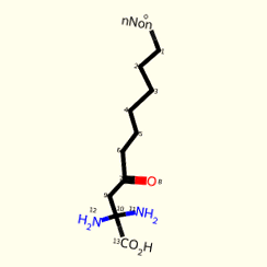 CCCCCCCCCCCCCCCC(=O)CC(N)(N)C(=O)O